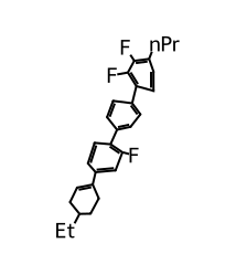 CCCc1ccc(-c2ccc(-c3ccc(C4=CCC(CC)CC4)cc3F)cc2)c(F)c1F